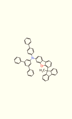 CC1(c2cccc3c2oc2cc(N(c4ccc(-c5ccccc5)cc4)c4cc(-c5ccccc5)cc(-c5ccccc5)c4)ccc23)c2ccccc2-c2ccccc21